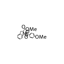 COC(=O)C1Cc2ccccc2N1S(=O)(=O)c1ccc(OC)cc1